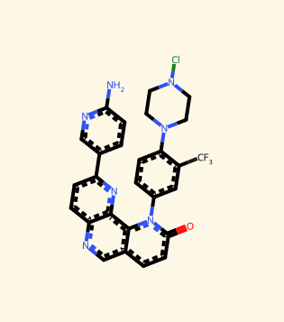 Nc1ccc(-c2ccc3ncc4ccc(=O)n(-c5ccc(N6CCN(Cl)CC6)c(C(F)(F)F)c5)c4c3n2)cn1